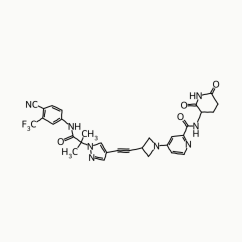 CC(C)(C(=O)Nc1ccc(C#N)c(C(F)(F)F)c1)n1cc(C#CC2CN(c3ccnc(C(=O)NC4CCC(=O)NC4=O)c3)C2)cn1